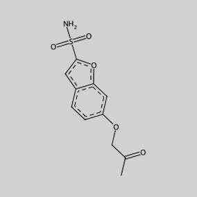 CC(=O)COc1ccc2cc(S(N)(=O)=O)oc2c1